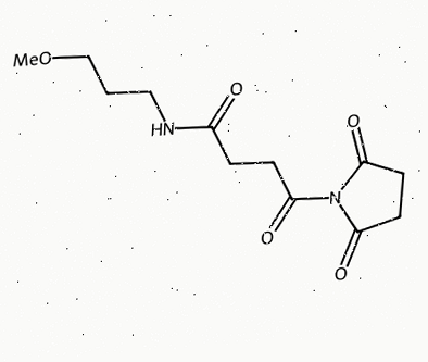 COCCCNC(=O)CCC(=O)N1C(=O)CCC1=O